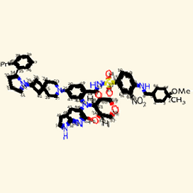 COC1(C)CCC(CNc2ccc(S(=O)(=O)NC(=O)c3ccc(N4CCC5(CC4)CC(N4CCC[C@H]4c4ccccc4C(C)C)C5)cc3N3c4cc5cc[nH]c5nc4O[C@H]4COCC[C@H]43)cc2[N+](=O)[O-])CC1